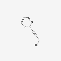 OCC#Cc1ccccn1